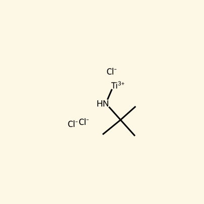 CC(C)(C)[NH][Ti+3].[Cl-].[Cl-].[Cl-]